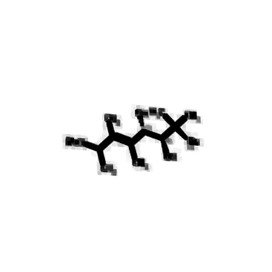 CC[C@H](C)C(C)(C)[C@@H](O)[C@@H](O)/C(C)=C(\C)C(C)OC